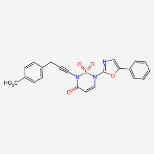 O=C(O)c1ccc(CC#CN2C(=O)C=CN(c3ncc(-c4ccccc4)o3)S2(=O)=O)cc1